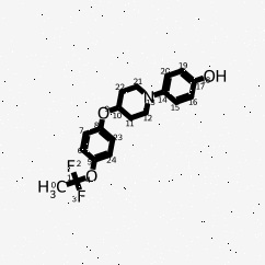 CC(F)(F)Oc1ccc(OC2CCN(c3ccc(O)cc3)CC2)cc1